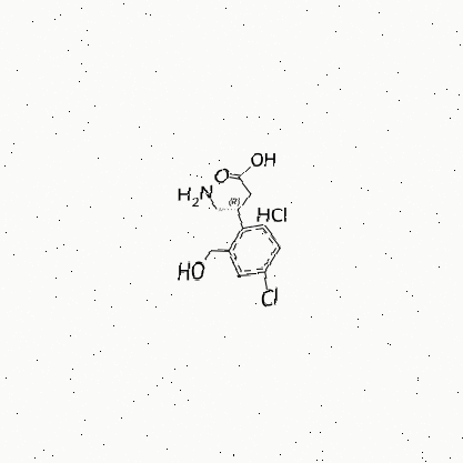 Cl.NC[C@H](CC(=O)O)c1ccc(Cl)cc1CO